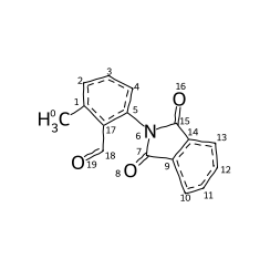 Cc1cccc(N2C(=O)c3ccccc3C2=O)c1C=O